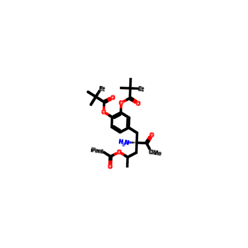 CCCC(C)C(=O)OC(C)C[C@@](N)(Cc1ccc(OC(=O)C(C)(C)CC)c(OC(=O)C(C)(C)CC)c1)C(=O)OC